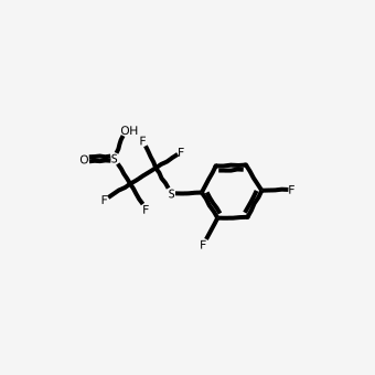 O=S(O)C(F)(F)C(F)(F)Sc1ccc(F)cc1F